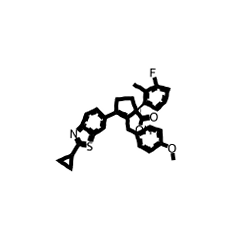 COc1ccc(CC2=C(c3ccc4nc(C5CC5)sc4c3)CC[C@@]2(C(=O)O)c2cccc(F)c2C)cc1